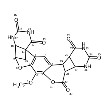 COc1c2c(cc3c1OC1CC34C(=O)NC(=O)NC14)C1C3C(=O)NC(=O)NC3C1C(=O)O2